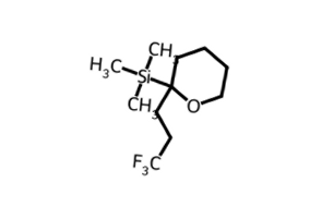 C[Si](C)(C)C1(CCC(F)(F)F)CCCCO1